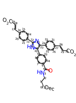 CCCCCCCCCCCCNC(=O)c1ccc(-c2[nH]c(-c3ccc(C=CC(=O)O)cc3)nc2-c2ccc(C=CC(=O)O)cc2)cc1